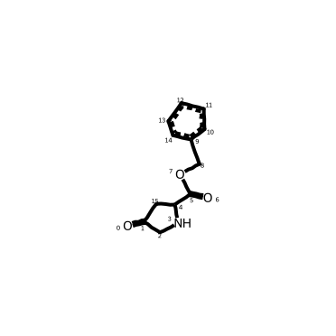 O=C1CNC(C(=O)OCc2ccccc2)C1